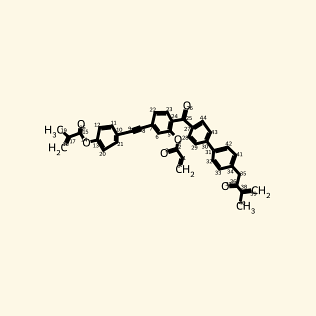 C=CC(=O)Oc1cc(C#Cc2ccc(OC(=O)C(=C)C)cc2)ccc1C(=O)c1ccc(-c2ccc(CC(=O)C(=C)C)cc2)cc1